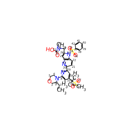 CC[C@H]1COCCN1c1cc(C(C)(C)S(C)(=O)=O)cc(-c2ccc3c(cc(CN(C)C(=O)O)n3S(=O)(=O)c3ccccc3)n2)n1